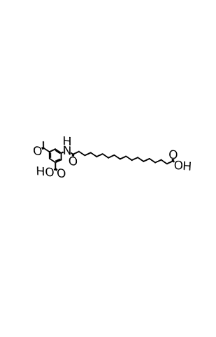 CC(=O)c1cc(NC(=O)CCCCCCCCCCCCCCCCC(=O)O)cc(C(=O)O)c1